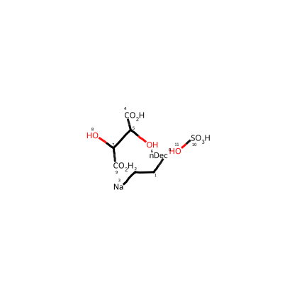 CCCCCCCCCCC[CH2][Na].O=C(O)C(O)C(O)C(=O)O.O=S(=O)(O)O